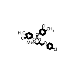 CNCC(COc1ccc(Cl)cc1)OB(Oc1ccc(C)c(Cl)c1)Oc1ccc(C)c(Cl)c1